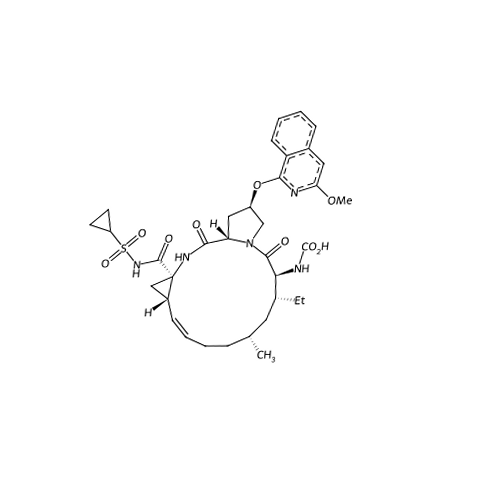 CC[C@@H]1C[C@H](C)CCC=C[C@@H]2C[C@@]2(C(=O)NS(=O)(=O)C2CC2)NC(=O)[C@@H]2C[C@@H](Oc3nc(OC)cc4ccccc34)CN2C(=O)[C@H]1NC(=O)O